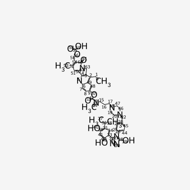 CCc1c2c(nc3ccc(OC(=O)N(C)CCCN4CCN(Cc5ccc(-n6c(O)nnc6-c6cc(C(C)C)c(O)cc6O)cc5)CC4)cc13)-c1cc(C)c(COC(=O)O)c(=O)n1C2